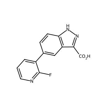 O=C(O)c1n[nH]c2ccc(-c3cccnc3F)cc12